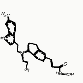 Cc1ccc2c(CCN(CCO)C3CCc4cc(C=CC(=O)NO)ccc43)c[nH]c2c1